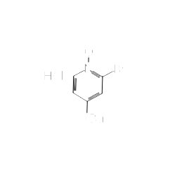 CC(C)(C)c1cc[n+]([O-])c(Br)c1.Cl